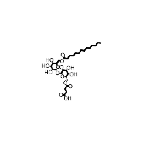 CCCCCCCCCCCCCC(=O)OCC1O[C@@H](O[C@@H]2O[C@H](COC(=O)CCC(=O)O)[C@H](O)C(O)C2O)C(O)[C@@H](O)[C@@H]1O